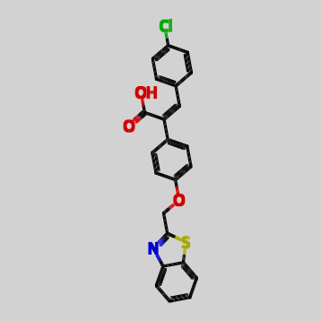 O=C(O)C(=Cc1ccc(Cl)cc1)c1ccc(OCc2nc3ccccc3s2)cc1